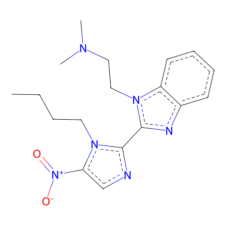 CCCCn1c([N+](=O)[O-])cnc1-c1nc2ccccc2n1CCN(C)C